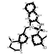 Cc1c(Cl)cccc1S(=O)(=O)Nc1nc2ccccc2nc1OCc1ccc2c(c1)N(C)CCO2